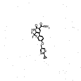 NC(=O)c1cc(-c2ccc(OCc3cnc(C4CC4)nc3)cc2)c(C(F)(F)F)[nH]c1=O